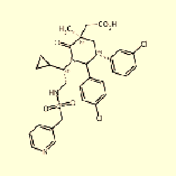 C[C@]1(CC(=O)O)C[C@H](c2cccc(Cl)c2)C(c2ccc(Cl)cc2)N([C@H](CNS(=O)(=O)Cc2cccnc2)C2CC2)C1=O